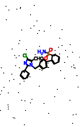 NS(=O)(=O)c1ccccc1-c1ccc(Cn2c(-c3ccccc3)nc(Cl)c2C=O)cc1